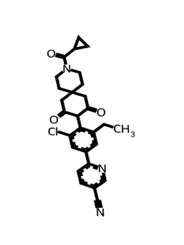 CCc1cc(-c2ccc(C#N)cn2)cc(Cl)c1C1C(=O)CC2(CCN(C(=O)C3CC3)CC2)CC1=O